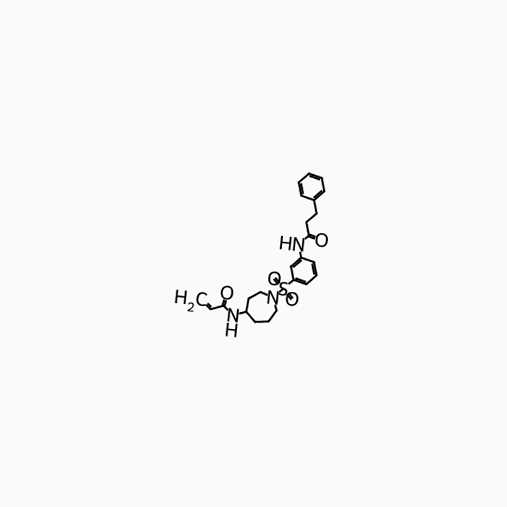 C=CC(=O)NC1CCCN(S(=O)(=O)c2cccc(NC(=O)CCc3ccccc3)c2)CC1